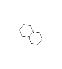 C1CCN2CCCCN2C1